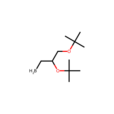 BCC(COC(C)(C)C)OC(C)(C)C